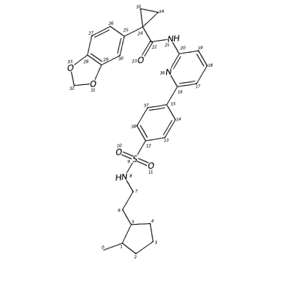 CC1CCCC1CCNS(=O)(=O)c1ccc(-c2cccc(NC(=O)C3(c4ccc5c(c4)OCO5)CC3)n2)cc1